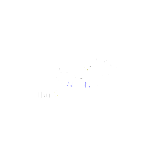 CC(C)(C)Sc1cccc(C2=NCc3ccccc3S2)n1